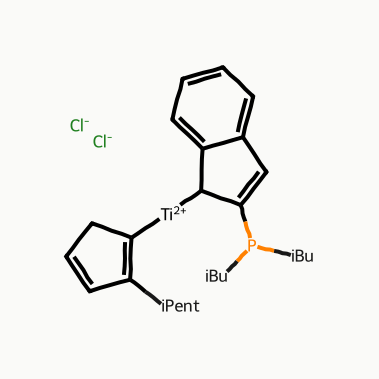 CCCC(C)C1=[C]([Ti+2][CH]2C(P(C(C)CC)C(C)CC)=Cc3ccccc32)CC=C1.[Cl-].[Cl-]